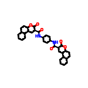 O=C(Nc1ccc(NC(=O)c2cc3c(ccc4ccccc43)oc2=O)cc1)c1cc2c(ccc3ccccc32)oc1=O